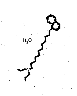 CCCN(CCC)CCCCCCCCCCCCc1cccc2ccccc12.O